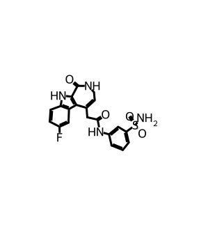 NS(=O)(=O)c1cccc(NC(=O)CC2=CCNC(=O)c3[nH]c4ccc(F)cc4c32)c1